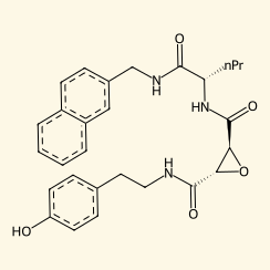 CCC[C@H](NC(=O)[C@H]1O[C@@H]1C(=O)NCCc1ccc(O)cc1)C(=O)NCc1ccc2ccccc2c1